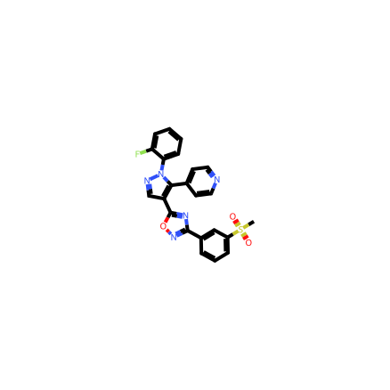 CS(=O)(=O)c1cccc(-c2noc(-c3cnn(-c4ccccc4F)c3-c3ccncc3)n2)c1